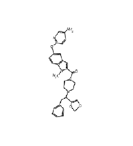 Cn1c(C(=O)N2CCN(C(Cc3ccccc3)C3=COCO3)CC2)cc2cc(Oc3ccc(N)cn3)ccc21